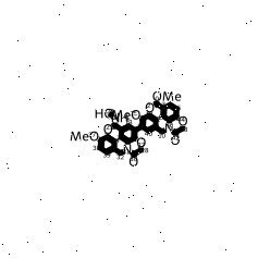 COC(=O)c1ccc2c(c1)N(Cc1ccc(OC)c(-c3cc(C(=O)NO)cc4c3OCC(=O)N4Cc3ccc(OC)cc3)c1)C(=O)CO2